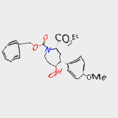 CCOC(=O)[C@@H]1C[C@H](c2ccc(OC)cc2)[C@@H](O)CN1C(=O)OCc1ccccc1